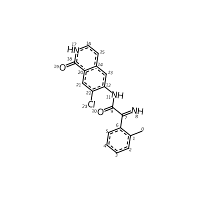 Cc1ccccc1C(=N)C(=O)Nc1cc2cc[nH]c(=O)c2cc1Cl